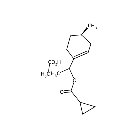 CC(=O)O.CC(OC(=O)C1CC1)C1=CC[C@H](C)CC1